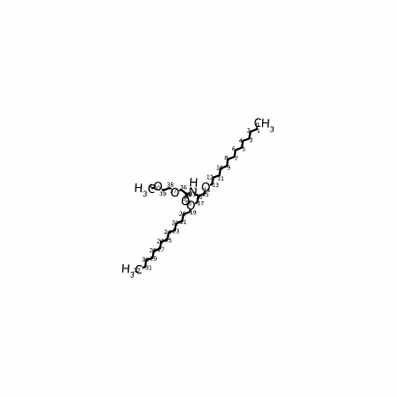 CCCCCCCCCCCCCCOCC(COCCCCCCCCCCCCCC)NC(=O)COCCOC